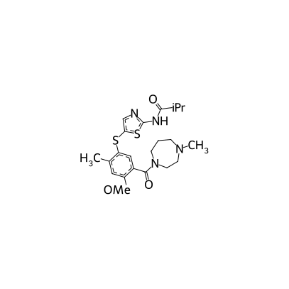 COc1cc(C)c(Sc2cnc(NC(=O)C(C)C)s2)cc1C(=O)N1CCCN(C)CC1